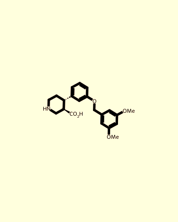 COc1cc(COc2cccc([C@H]3CCNC[C@@H]3C(=O)O)c2)cc(OC)c1